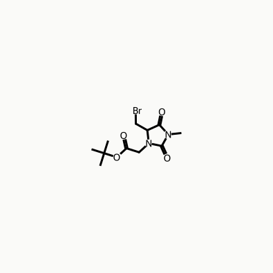 CN1C(=O)C(CBr)N(CC(=O)OC(C)(C)C)C1=O